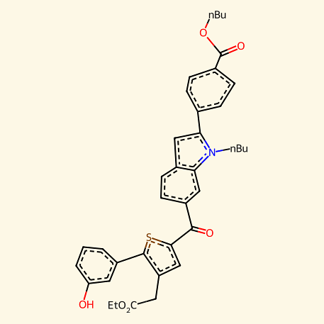 CCCCOC(=O)c1ccc(-c2cc3ccc(C(=O)c4cc(CC(=O)OCC)c(-c5cccc(O)c5)s4)cc3n2CCCC)cc1